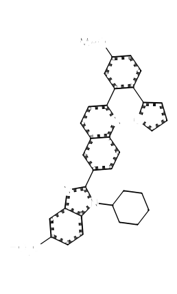 COc1ccc(-c2ccco2)c(-c2ccc3cc(-c4nc5cc(C(=O)O)ccc5n4C4CCCCC4)ccc3n2)c1